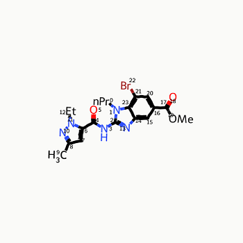 CCCn1c(NC(=O)c2cc(C)nn2CC)nc2cc(C(=O)OC)cc(Br)c21